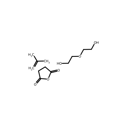 C=C(C)C.O=C1CCC(=O)O1.OCCOCCO